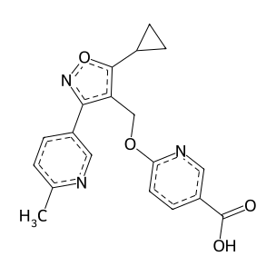 Cc1ccc(-c2noc(C3CC3)c2COc2ccc(C(=O)O)cn2)cn1